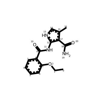 CCOc1ccccc1C(=O)Nc1[nH]cc(C)c1C(N)=O